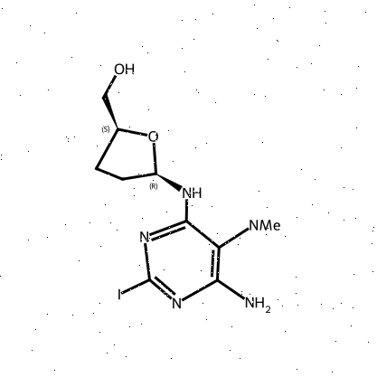 CNc1c(N)nc(I)nc1N[C@H]1CC[C@@H](CO)O1